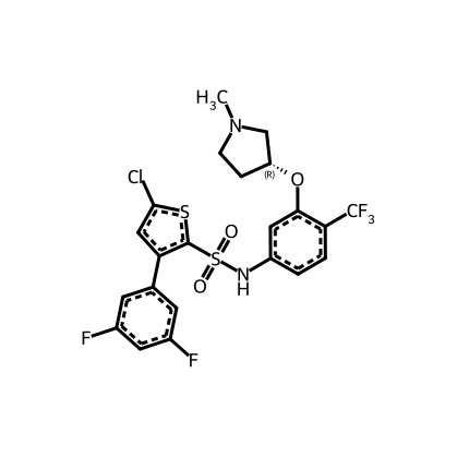 CN1CC[C@@H](Oc2cc(NS(=O)(=O)c3sc(Cl)cc3-c3cc(F)cc(F)c3)ccc2C(F)(F)F)C1